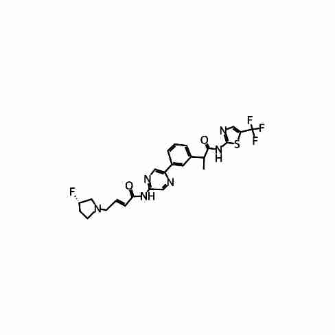 CC(C(=O)Nc1ncc(C(F)(F)F)s1)c1cccc(-c2cnc(NC(=O)/C=C/CN3CC[C@H](F)C3)cn2)c1